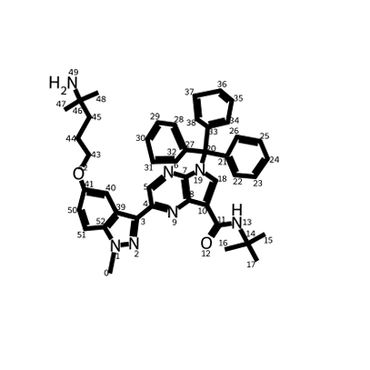 Cn1nc(-c2cnc3c(n2)c(C(=O)NC(C)(C)C)cn3C(c2ccccc2)(c2ccccc2)c2ccccc2)c2cc(OCCCC(C)(C)N)ccc21